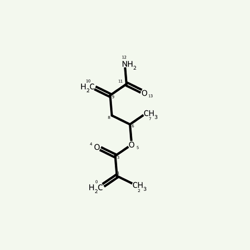 C=C(C)C(=O)OC(C)CC(=C)C(N)=O